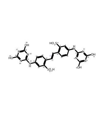 O=S(=O)(O)c1cc(Nc2nc(O)nc(O)n2)ccc1/C=C/c1ccc(Nc2nc(O)nc(O)n2)cc1S(=O)(=O)O